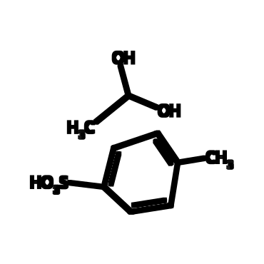 CC(O)O.Cc1ccc(S(=O)(=O)O)cc1